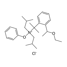 CCOC(C)c1ccccc1C(C)(C)[N+](CC(C)C)(CC(C)C)Oc1ccccc1.[Cl-]